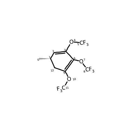 C[C@@H]1C=C(OC(F)(F)F)C(OC(F)(F)F)=C(OC(F)(F)F)C1